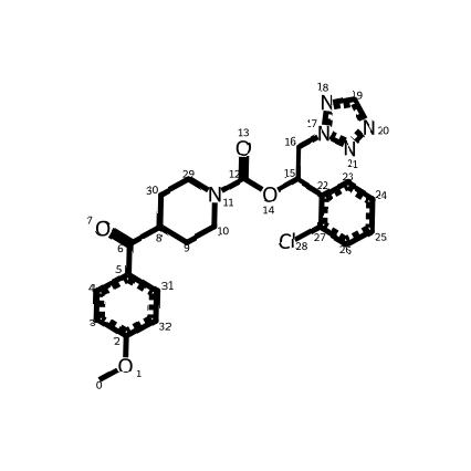 COc1ccc(C(=O)C2CCN(C(=O)OC(Cn3ncnn3)c3ccccc3Cl)CC2)cc1